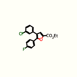 CCOC(=O)c1cc(-c2cccc(Cl)c2)c(-c2ccc(F)cc2)o1